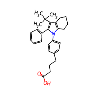 CC(C)(C)c1c2c(n(-c3ccc(CCCC(=O)O)cc3)c1-c1ccccc1)CCCC2